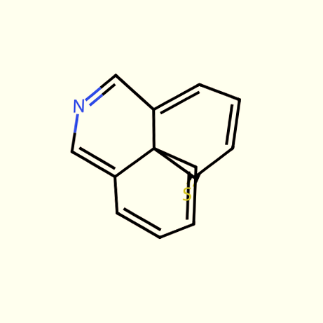 S=C1C=CC=C2C=NC=C3C=CC=CC123